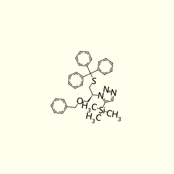 C[Si](C)(C)c1cnnn1[C@@H](COCc1ccccc1)CSC(c1ccccc1)(c1ccccc1)c1ccccc1